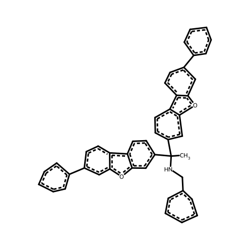 CC(NCc1ccccc1)(c1ccc2c(c1)oc1cc(-c3ccccc3)ccc12)c1ccc2c(c1)oc1cc(-c3ccccc3)ccc12